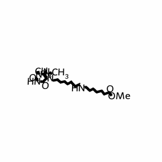 COC(=O)CCCCCCNCCCCCCCCn1c(C)nc2c1c(=O)[nH]c(=O)n2C